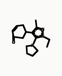 CCn1nc(C)c(C2CC=CC(=O)C2)c1N1CCCC1